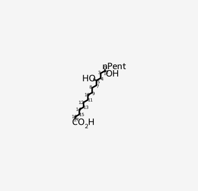 CCCCCC(O)CCC(O)CCCCCCCCCCC(=O)O